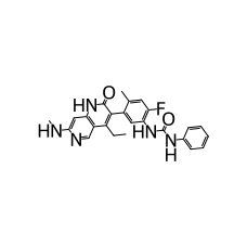 CCc1c(-c2cc(NC(=O)Nc3ccccc3)c(F)cc2C)c(=O)[nH]c2cc(NC)ncc12